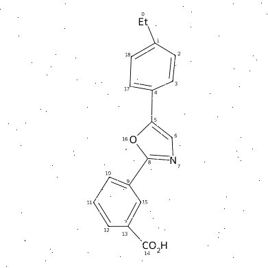 CCc1ccc(-c2cnc(-c3cccc(C(=O)O)c3)o2)cc1